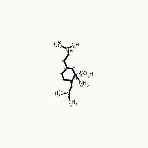 CN(C)CC1CCC(CCB(O)O)C[C@]1(N)C(=O)O